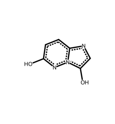 Oc1ccc2ncc(O)n2n1